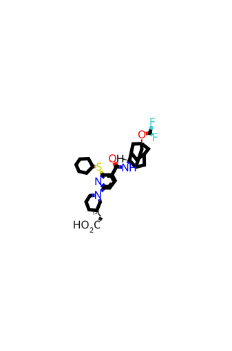 O=C(O)C[C@@H]1CCCN(c2ccc(C(=O)N[C@H]3C4CC5CC3C[C@](OC(F)F)(C5)C4)c(SC3CCCCC3)n2)C1